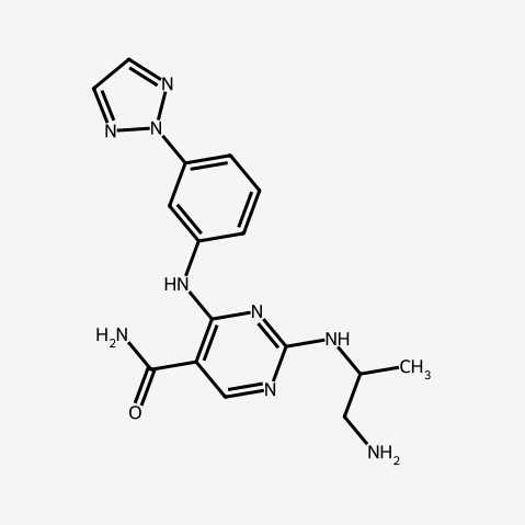 CC(CN)Nc1ncc(C(N)=O)c(Nc2cccc(-n3nccn3)c2)n1